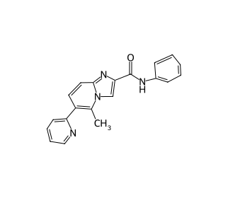 Cc1c(-c2ccccn2)ccc2nc(C(=O)Nc3ccccc3)cn12